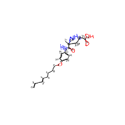 CCCCCCCCOc1ccc(NC(=O)C(C)(N)CCC(=O)O)cc1